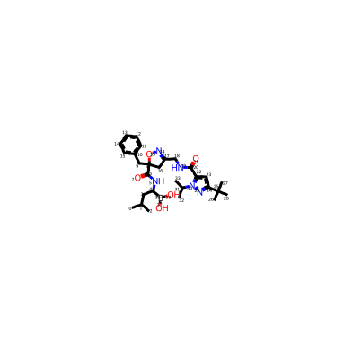 CC(C)CC(NC(=O)C1(Cc2ccccc2)CC(CNC(=O)c2cc(C(C)(C)C)nn2C(C)C)=NO1)B(O)O